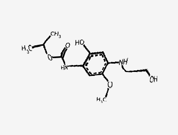 COc1cc(NC(=O)OC(C)C)c(O)cc1NCCO